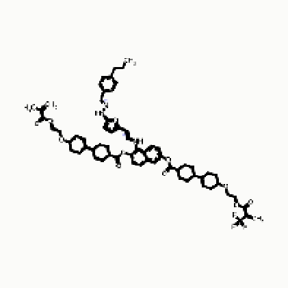 C=C(C)C(=O)OCCOC1CCC(C2CCC(C(=O)Oc3ccc4cc(OC(=O)C5CCC(C6CCC(OCCOC(=O)C(=C)C(F)(F)F)CC6)CC5)ccc4c3N/C=C/c3ccc(N/N=C/c4ccc(CCC)cc4)o3)CC2)CC1